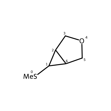 CSC1C2COCC21